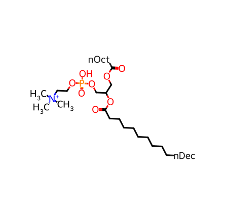 CCCCCCCCCCCCCCCCCCCC(=O)OC(COC(=O)CCCCCCCC)COP(=O)(O)OCC[N+](C)(C)C